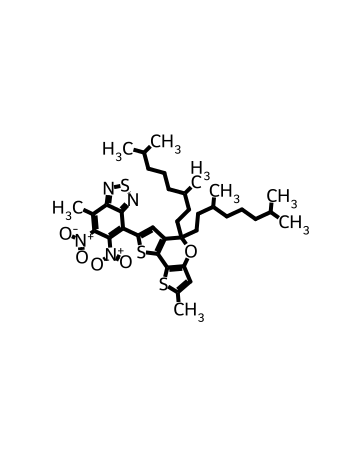 Cc1cc2c(s1)-c1sc(-c3c([N+](=O)[O-])c([N+](=O)[O-])c(C)c4nsnc34)cc1C(CCC(C)CCCC(C)C)(CCC(C)CCCC(C)C)O2